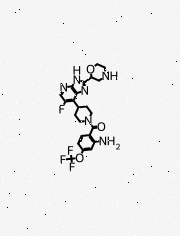 Nc1cc(OC(F)(F)F)ccc1C(=O)N1CCC(c2c(F)cnc3[nH]c(C4CNCCO4)nc23)CC1